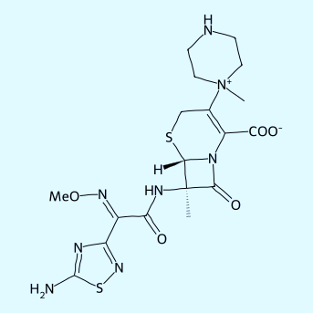 CON=C(C(=O)N[C@]1(C)C(=O)N2C(C(=O)[O-])=C([N+]3(C)CCNCC3)CS[C@H]21)c1nsc(N)n1